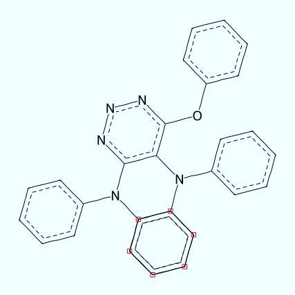 c1ccc(Oc2nnnc(N(c3ccccc3)c3ccccc3)c2N(c2ccccc2)c2ccccc2)cc1